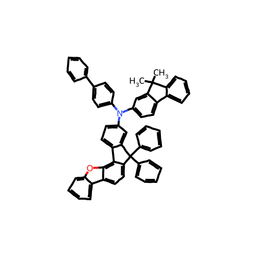 CC1(C)c2ccccc2-c2ccc(N(c3ccc(-c4ccccc4)cc3)c3ccc4c(c3)C(c3ccccc3)(c3ccccc3)c3ccc5c(oc6ccccc65)c3-4)cc21